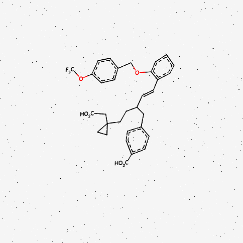 O=C(O)CC1(CCC(C=Cc2ccccc2OCc2ccc(OC(F)(F)F)cc2)Cc2ccc(C(=O)O)cc2)CC1